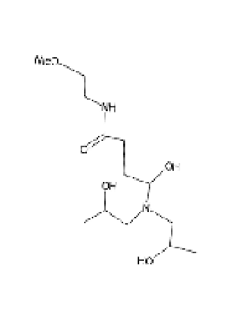 COCCNC(=O)CCC(O)N(CC(C)O)CC(C)O